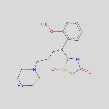 COc1ccccc1C(CCCN1CCNCC1)C1NC(=O)C[S+]1[O-]